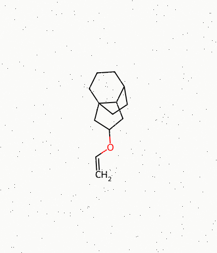 C=COC1CC2C3CCCC2(CC3)C1